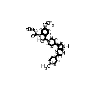 CN1CCC(c2cnc3[nH]cc(C4CCN(C(=O)c5ccc(OC(F)(F)F)cc5NC(=O)OC(C)(C)C)CC4)c3n2)CC1